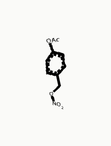 CC(=O)Oc1ccc(CO[N+](=O)[O-])cc1